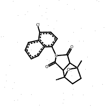 CC12CCC(C)(O1)C1C(=O)N(c3ccc(Cl)c4ccccc34)C(=O)C12